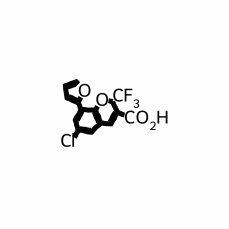 O=C(O)C1=Cc2cc(Cl)cc(-c3ccco3)c2OC1C(F)(F)F